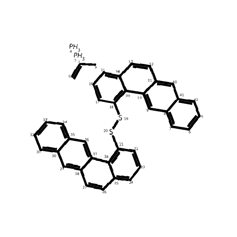 C=CC.P.P.c1ccc2cc3c(ccc4cccc(SSc5cccc6ccc7cc8ccccc8cc7c56)c43)cc2c1